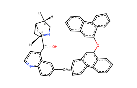 CC[C@@H]1CN2CCC1C[C@H]2[C@H](O)c1ccnc2ccc(OC)cc12.c1ccc2c(c1)cc(Oc1cc3ccccc3c3ccccc13)c1ccccc12